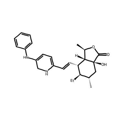 CC[C@H]1[C@H](/C=C/C2=CC=C(Nc3ccccc3)CN2)[C@@H]2[C@@H](C)OC(=O)[C@]2(O)C[C@@H]1C